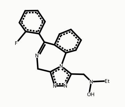 CCN(O)Cc1nnc2n1-c1ccccc1C(c1ccccc1F)=NC2